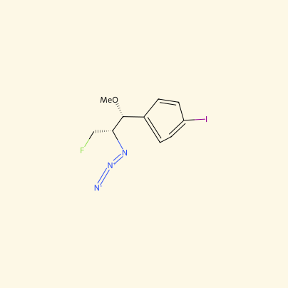 CO[C@H](c1ccc(I)cc1)[C@@H](CF)N=[N+]=[N-]